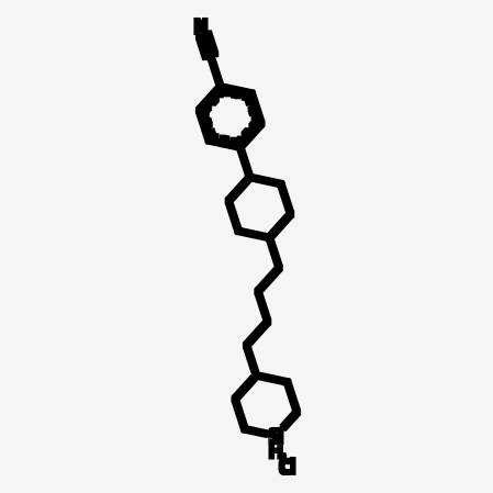 N#Cc1ccc(C2CCC(CCCCC3CC[SiH](Cl)CC3)CC2)cc1